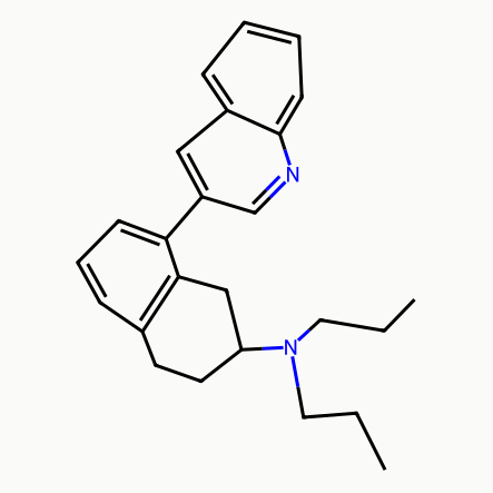 CCCN(CCC)C1CCc2cccc(-c3cnc4ccccc4c3)c2C1